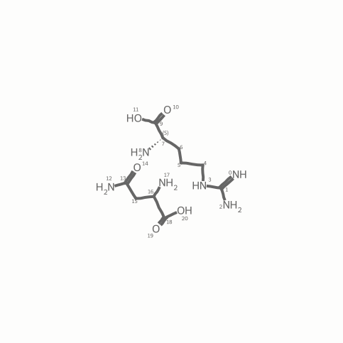 N=C(N)NCCC[C@H](N)C(=O)O.NC(=O)CC(N)C(=O)O